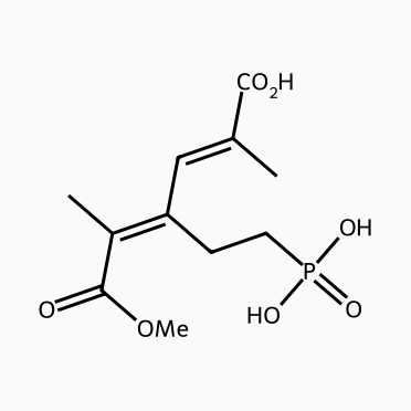 COC(=O)C(C)=C(C=C(C)C(=O)O)CCP(=O)(O)O